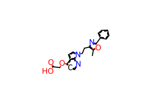 Cc1oc(-c2ccccc2)nc1CCn1ccc2c(OCC(=O)O)ccnc21